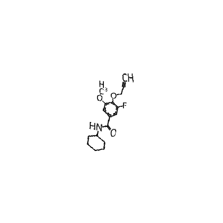 C#CCOc1c(F)cc(C(=O)NC2CCCCC2)cc1OC